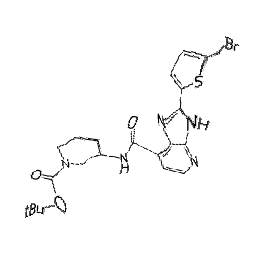 CC(C)(C)OC(=O)N1CCCC(NC(=O)c2ccnc3[nH]c(-c4ccc(Br)s4)nc23)C1